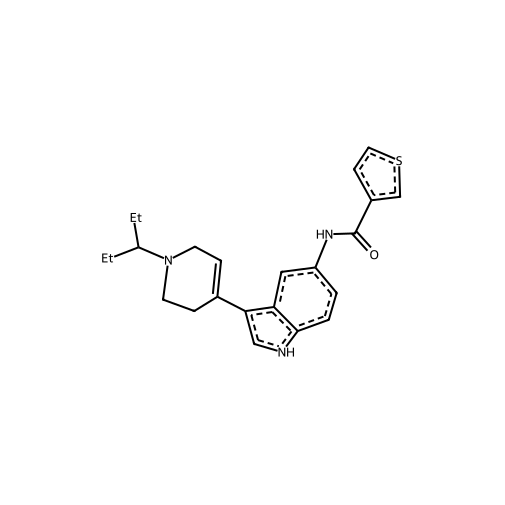 CCC(CC)N1CC=C(c2c[nH]c3ccc(NC(=O)c4ccsc4)cc23)CC1